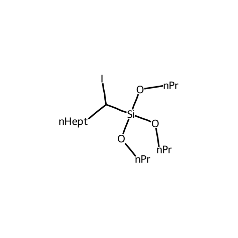 CCCCCCCC(I)[Si](OCCC)(OCCC)OCCC